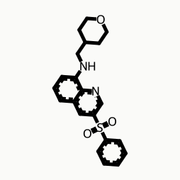 O=S(=O)(c1ccccc1)c1cnc2c(NCC3CCOCC3)cccc2c1